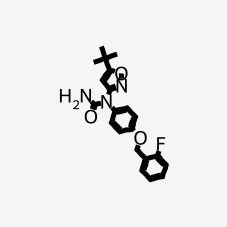 CC(C)(C)c1cc(N(C(N)=O)c2ccc(OCc3ccccc3F)cc2)no1